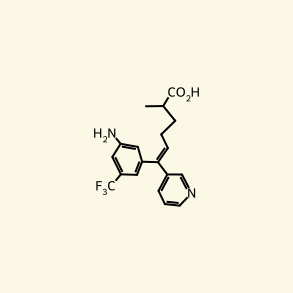 CC(CCC=C(c1cccnc1)c1cc(N)cc(C(F)(F)F)c1)C(=O)O